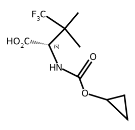 CC(C)([C@H](NC(=O)OC1CC1)C(=O)O)C(F)(F)F